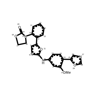 COc1cc(Nc2ncc(-c3ccccc3N3CCOC3=O)o2)ccc1-c1cnco1